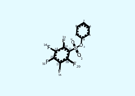 O=S(=O)(Oc1cc[c]cc1)c1c(F)c(F)c(F)c(F)c1F